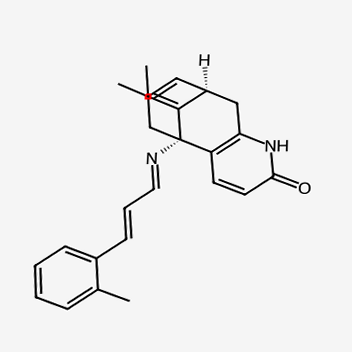 C/C=C1\[C@H]2C=C(C)C[C@]1(/N=C/C=C/c1ccccc1C)c1ccc(=O)[nH]c1C2